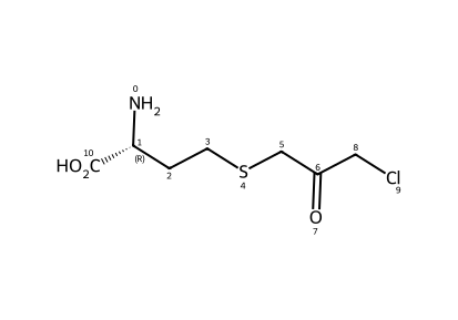 N[C@H](CCSCC(=O)CCl)C(=O)O